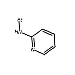 CCNc1ccc[c]n1